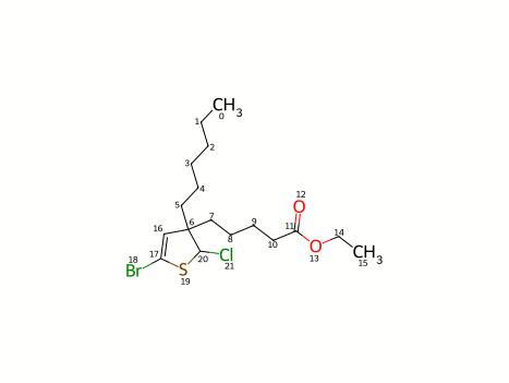 CCCCCCC1(CCCCC(=O)OCC)C=C(Br)SC1Cl